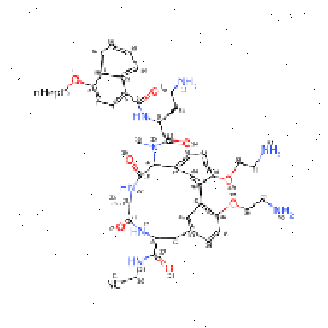 CCCCCCCOc1ccc(C(=O)N[C@@H](CCN)C(=O)N(C)[C@@H]2C(=O)N[C@@H](C)C(=O)N[C@H](C(=O)NCC#N)Cc3ccc(OCCN)c(c3)-c3cc2ccc3OCCN)c2ccccc12